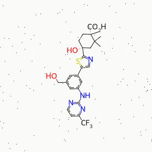 CC1(C)C[C@@](O)(c2ncc(-c3cc(CO)cc(Nc4nccc(C(F)(F)F)n4)c3)s2)CC[C@]1(C)C(=O)O